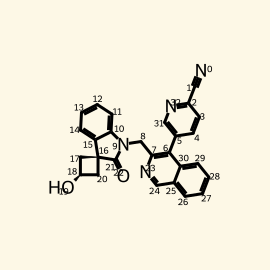 N#Cc1ccc(-c2c(CN3c4ccccc4[C@]4(C[C@H](O)C4)C3=O)ncc3ccccc23)cn1